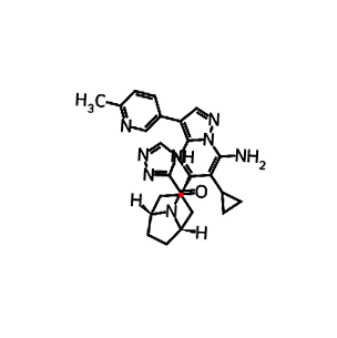 Cc1ccc(-c2cnn3c(N)c(C4CC4)c([C@@H]4C[C@H]5CC[C@@H](C4)N5C(=O)c4nnc[nH]4)nc23)cn1